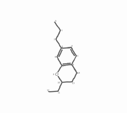 CCCc1ccc2c(c1)OC(CC)CC2